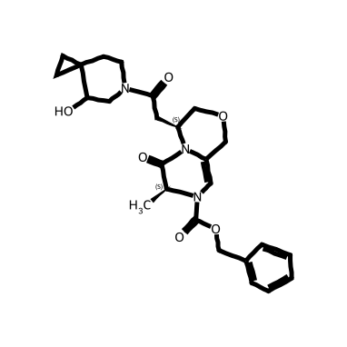 C[C@H]1C(=O)N2C(=CN1C(=O)OCc1ccccc1)COC[C@@H]2CC(=O)N1CCC2(CC2)C(O)C1